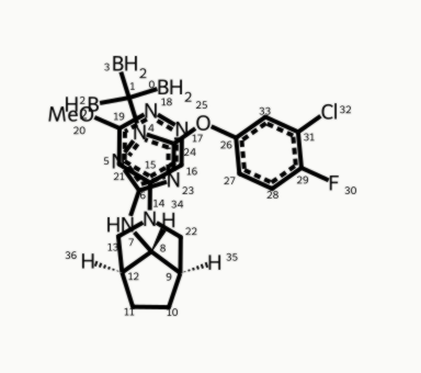 BC(B)(B)n1nc(N[C@@H]2[C@@H]3CC[C@H]2CN(c2cnnc(OC)c2)C3)nc1Oc1ccc(F)c(Cl)c1